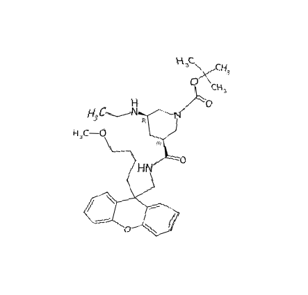 CCN[C@@H]1C[C@H](C(=O)NCC2(CCCCOC)c3ccccc3Oc3ccccc32)CN(C(=O)OC(C)(C)C)C1